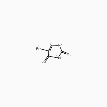 CC(C)C1=C[N]C(=O)NC1=O